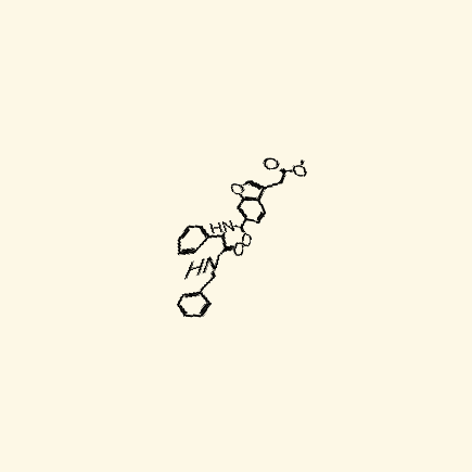 COC(=O)Cc1coc2cc(C(=O)NC(C(=O)NCc3ccccc3)c3ccccc3)ccc12